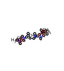 CC1(C)c2ccccc2-c2c(-c3ccccc3N(c3ccc4c(c3)-c3ccccc3C4(C)c3cccc(-c4cccc(-n5c6ccccc6c6ccc(-c7ccccc7N(c7ccc8c(c7)C7(c9ccccc9-c9ccccc97)c7ccccc7-8)c7ccccc7-c7cccc8c7-c7ccccc7C8(C)C)cc65)c4)c3)c3ccccc3-c3ccc4c5ccccc5n(-c5ccccc5)c4c3)cccc21